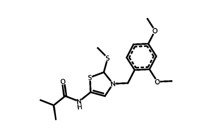 COc1ccc(CN2C=C(NC(=O)C(C)C)SC2SC)c(OC)c1